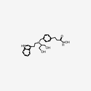 O=C(CCc1ccc(CN(CCc2c[nH]c3ccccc23)C(CO)CO)cc1)NO